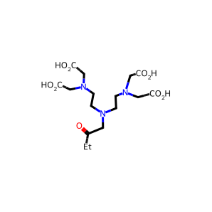 CCC(=O)CN(CCN(CC(=O)O)CC(=O)O)CCN(CC(=O)O)CC(=O)O